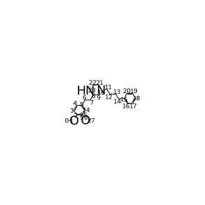 COc1ccc(CCC2CN(CCCCc3ccccc3)CCN2)cc1OC